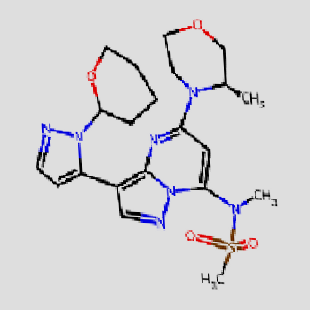 C[C@@H]1COCCN1c1cc(N(C)S(C)(=O)=O)n2ncc(-c3ccnn3C3CCCCO3)c2n1